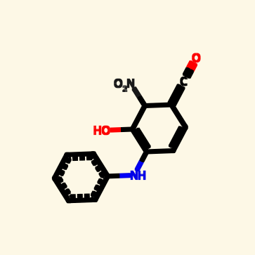 O=C=C1C=CC(Nc2ccccc2)=C(O)C1[N+](=O)[O-]